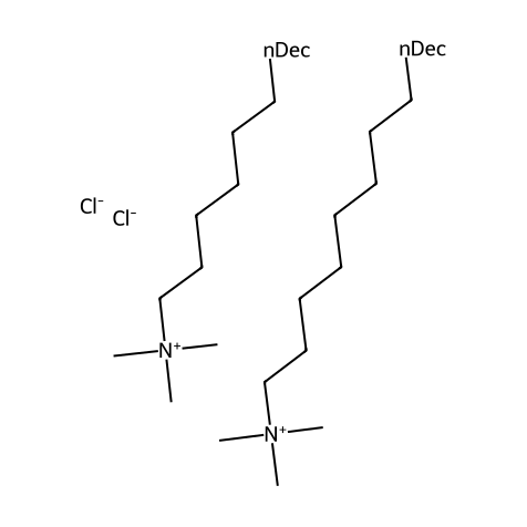 CCCCCCCCCCCCCCCCCC[N+](C)(C)C.CCCCCCCCCCCCCCCC[N+](C)(C)C.[Cl-].[Cl-]